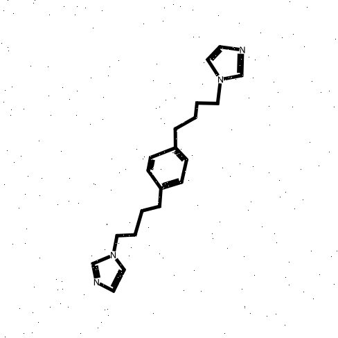 c1cn(CCCCc2ccc(CCCCn3ccnc3)cc2)cn1